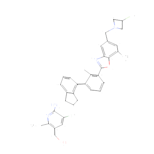 COc1nc(N[C@H]2CCc3c(-c4cccc(-c5nc6cc(CN7CC(F)C7)cc(C#N)c6o5)c4C)cccc32)c(Cl)cc1CO